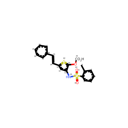 Cc1ccccc1S(=O)(=O)Nc1cc(C=Cc2ccccc2)sc1OC(=O)O